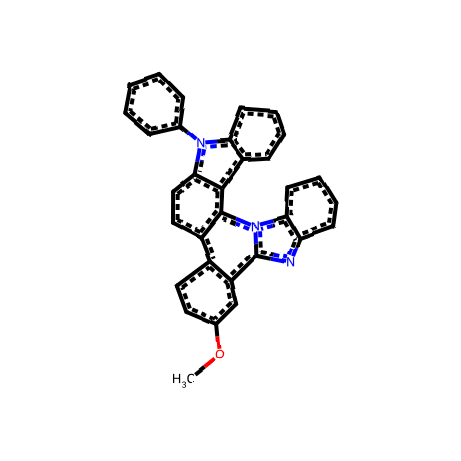 COc1ccc2c(c1)c1nc3ccccc3n1c1c2ccc2c1c1ccccc1n2-c1ccccc1